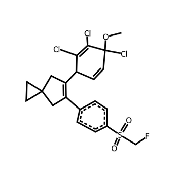 COC1(Cl)C=CC(C2=C(c3ccc(S(=O)(=O)CF)cc3)CC3(CC3)C2)C(Cl)=C1Cl